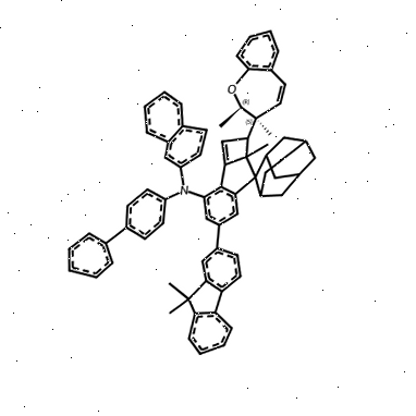 C[C@H]1Oc2ccccc2C=C[C@@]1(C)C1C=C2c3c(N(c4ccc(-c5ccccc5)cc4)c4ccc5ccccc5c4)cc(-c4ccc5c(c4)C(C)(C)c4ccccc4-5)cc3C3(C4CC5CC(C4)CC3C5)C21C